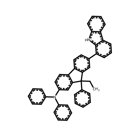 CCC1(c2ccccc2)c2cc(-c3cccc4c3[nH]c3ccccc34)ccc2-c2ccc(N(c3ccccc3)c3ccccc3)cc21